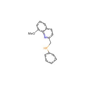 COc1cccc2ccc(CPc3ccccc3)nc12